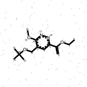 C=C(OCC)c1cc(COC(C)(C)C)c(OC)nn1